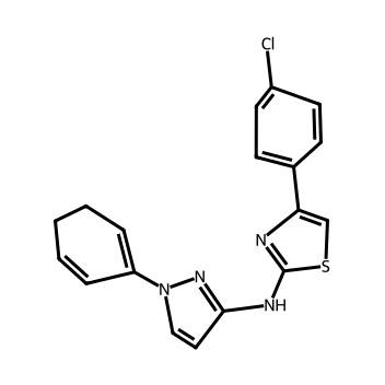 Clc1ccc(-c2csc(Nc3ccn(C4=CCCC=C4)n3)n2)cc1